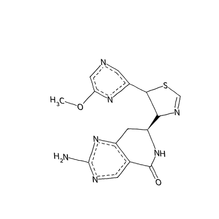 COc1cncc(C2SC=NC2[C@@H]2Cc3nc(N)ncc3C(=O)N2)n1